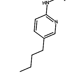 CCCCc1ccc(NN)nc1